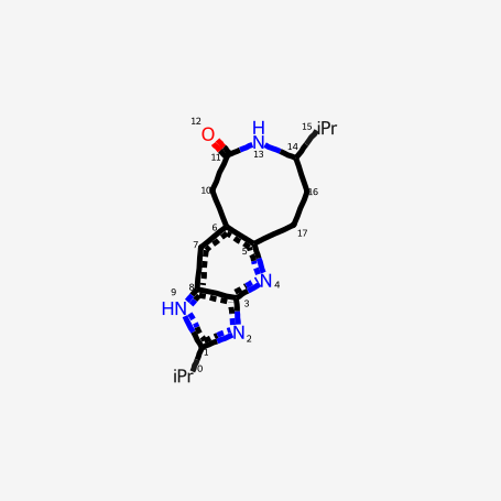 CC(C)c1nc2nc3c(cc2[nH]1)CC(=O)NC(C(C)C)CC3